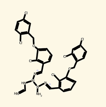 N=CN[N+](/N=C/c1cccc(OCc2cc(Cl)ccc2Cl)c1Cl)N(N)/N=C/c1cccc(OCc2ccc(Cl)cc2Cl)c1Cl